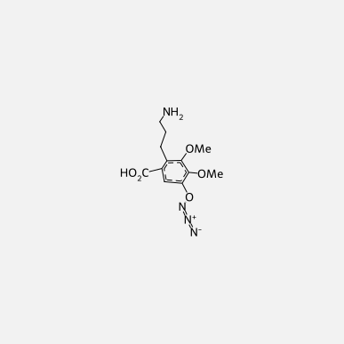 COc1c(ON=[N+]=[N-])cc(C(=O)O)c(CCCN)c1OC